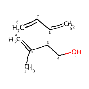 C=C(C)CCO.C=CC=C